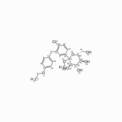 CCOc1ccc(Cc2cc(C3(OC)O[C@H](CO)[C@@H](O)[C@H](O)[C@H]3O)ccc2Cl)cc1